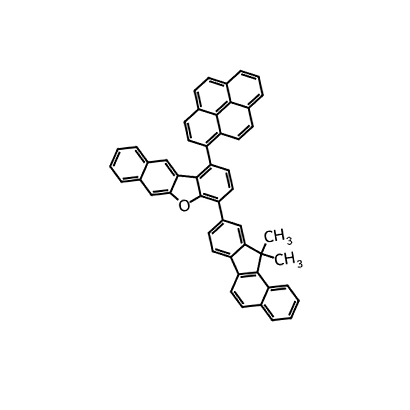 CC1(C)c2cc(-c3ccc(-c4ccc5ccc6cccc7ccc4c5c67)c4c3oc3cc5ccccc5cc34)ccc2-c2ccc3ccccc3c21